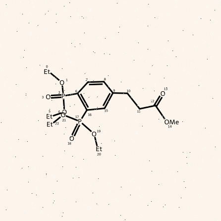 CCOP(=O)(OCC)c1ccc(CCC(=O)OC)cc1P(=O)(OCC)OCC